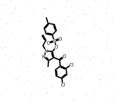 C=CCn1nc(C)c(C(=O)c2ccc(Cl)cc2Cl)c1OS(=O)(=O)c1ccc(C)cc1